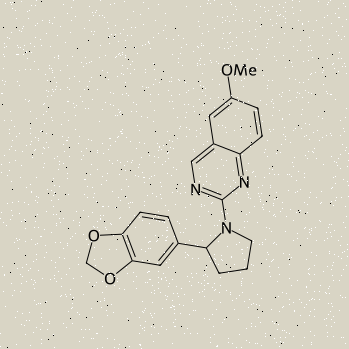 COc1ccc2nc(N3CCCC3c3ccc4c(c3)OCO4)ncc2c1